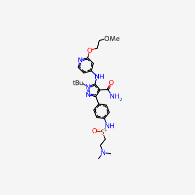 COCCOc1cc(Nc2c(C(N)=O)c(-c3ccc(N[S+]([O-])CCN(C)C)cc3)nn2C(C)(C)C)ccn1